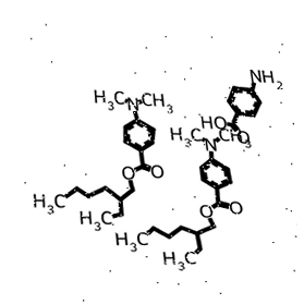 CCCCC(CC)COC(=O)c1ccc(N(C)C)cc1.CCCCC(CC)COC(=O)c1ccc(N(C)C)cc1.Nc1ccc(C(=O)O)cc1